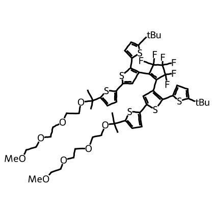 COCCOCCOCCOC(C)(C)c1ccc(-c2cc(C3=C(c4cc(-c5ccc(C(C)(C)OCCOCCOCCOC)s5)sc4-c4ccc(C(C)(C)C)s4)C(F)(F)C(F)(F)C3(F)F)c(-c3ccc(C(C)(C)C)s3)s2)s1